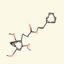 COc1cc(OC)c(CCC(=O)OC=Cc2ccccc2)c(OC)c1